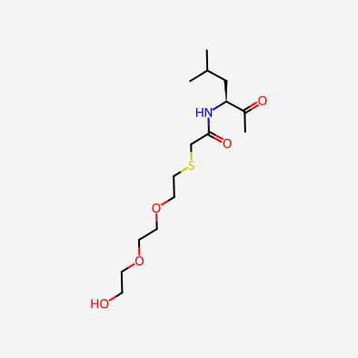 CC(=O)[C@H](CC(C)C)NC(=O)CSCCOCCOCCO